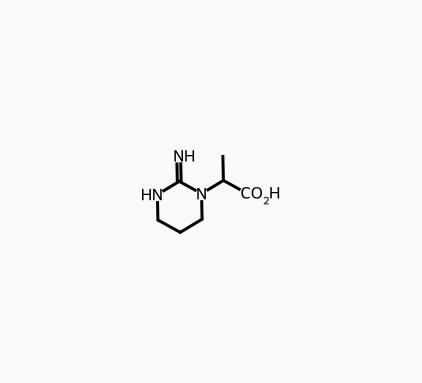 CC(C(=O)O)N1CCCNC1=N